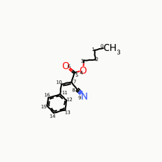 CCCCOC(=O)/C(C#N)=C/c1ccccc1